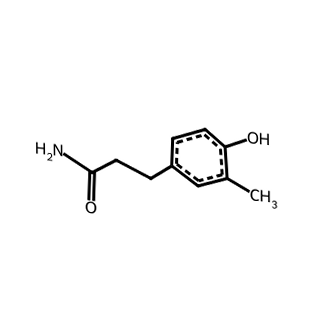 Cc1cc(CCC(N)=O)ccc1O